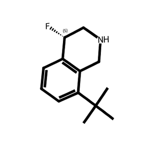 CC(C)(C)c1cccc2c1CNC[C@H]2F